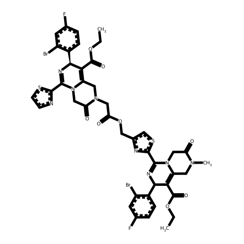 CCOC(=O)C1=C2CN(C)C(=O)CN2C(c2nc(COC(=O)CN3CC4=C(C(=O)OCC)[C@H](c5ccc(F)cc5Br)N=C(c5nccs5)N4CC3=O)cs2)=NC1c1ccc(F)cc1Br